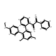 CSc1ccc(-c2c(C)cc(C)cc2-c2ccccc2C(=O)C(=O)c2ccccc2)cc1